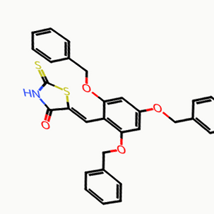 O=C1NC(=S)SC1=Cc1c(OCc2ccccc2)cc(OCc2ccccc2)cc1OCc1ccccc1